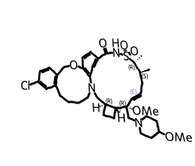 COC1CCN(C[C@]2(OC)/C=C/C[C@H](C)[C@@H](C)S(=O)(=O)NC(=O)c3ccc4c(c3)N(CCCCc3cc(Cl)ccc3CO4)C[C@@H]3CC[C@H]32)CC1